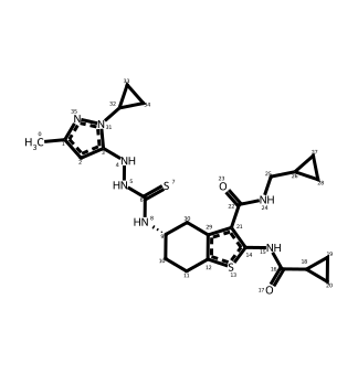 Cc1cc(NNC(=S)N[C@H]2CCc3sc(NC(=O)C4CC4)c(C(=O)NCC4CC4)c3C2)n(C2CC2)n1